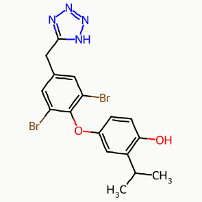 CC(C)c1cc(Oc2c(Br)cc(Cc3nnn[nH]3)cc2Br)ccc1O